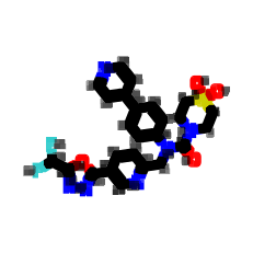 O=C(N1CCS(=O)(=O)CC1)N(Cc1ccc(-c2nnc(C(F)F)o2)cn1)c1ccc(-c2ccncc2)cc1